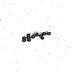 CC1(C)c2ccc(-c3cc4ccccc4c4c3oc3cc5sc6ccccc6c5cc34)cc2-c2ccc(-c3c4ccccc4c(-c4cccc5ccccc45)c4ccccc34)cc21